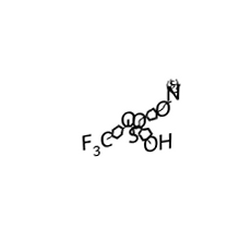 C[C@H]1CCN(CCOc2ccc(Oc3c(C(=O)c4ccc(C(F)(F)F)cc4)sc4cc(O)ccc34)cc2)C1